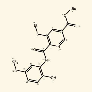 CCSc1cc(C(=O)OC(C)(C)C)cnc1C(=O)Nc1cc(SC(F)(F)F)ccc1O